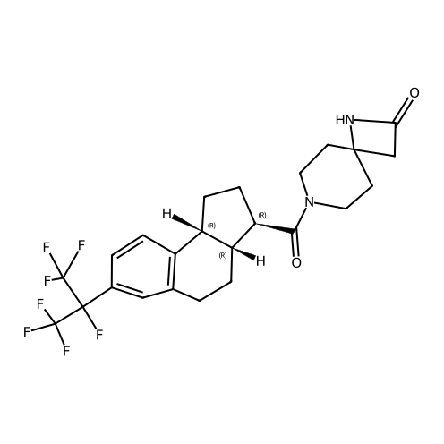 O=C1CC2(CCN(C(=O)[C@@H]3CC[C@H]4c5ccc(C(F)(C(F)(F)F)C(F)(F)F)cc5CC[C@@H]34)CC2)N1